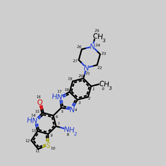 Cc1cc2nc(-c3c(N)c4sccc4[nH]c3=O)[nH]c2cc1N1CCN(C)CC1